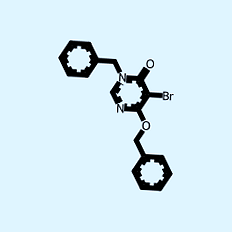 O=c1c(Br)c(OCc2ccccc2)ncn1Cc1ccccc1